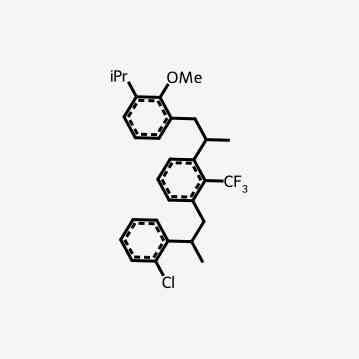 COc1c(CC(C)c2cccc(CC(C)c3ccccc3Cl)c2C(F)(F)F)cccc1C(C)C